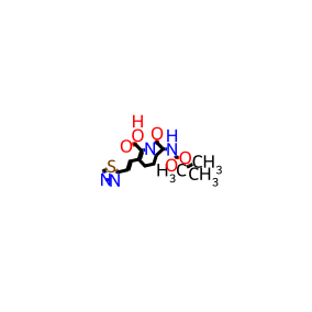 CC(C)(C)OC(=O)NC1C(=O)N2C(C(=O)O)=C(/C=C/c3nncs3)CCC12